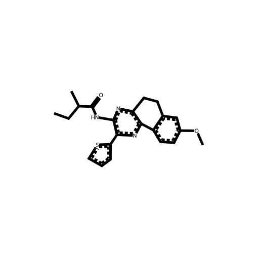 CCC(C)C(=O)Nc1nc2c(nc1-c1cccs1)-c1ccc(OC)cc1CC2